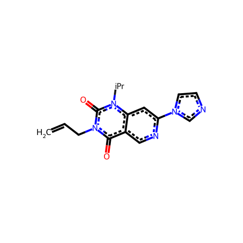 C=CCn1c(=O)c2cnc(-n3ccnc3)cc2n(C(C)C)c1=O